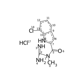 CN(C(=N)N)C(=O)c1cc2cccc(Cl)c2[nH]1.Cl